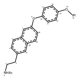 CC(=O)NCCc1ccc2cc(Oc3ccc(OC(C)C)cc3)ccc2c1